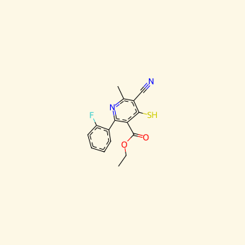 CCOC(=O)c1c(-c2ccccc2F)nc(C)c(C#N)c1S